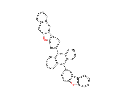 c1ccc2cc3c(cc2c1)oc1cc(-c2c4ccccc4c(-c4ccc5oc6ccccc6c5c4)c4ccccc24)ccc13